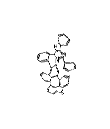 c1ccc(C2=NC(c3ccccc3-c3ccc4c5c(cccc35)-c3cccc5sc6cccc-4c6c35)NC(c3ccccc3)=N2)cc1